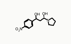 O=[N+]([O-])c1ccc(C(O)C[C@@H](O)N2CCCC2)cc1